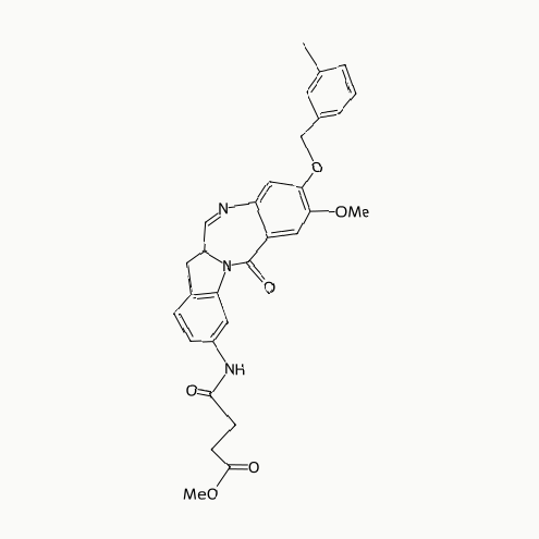 COC(=O)CCC(=O)Nc1ccc2c(c1)N1C(=O)c3cc(OC)c(OCc4cccc(C)c4)cc3N=CC1C2